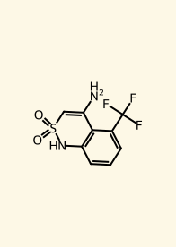 NC1=CS(=O)(=O)Nc2cccc(C(F)(F)F)c21